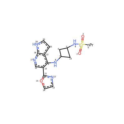 CCCS(=O)(=O)NC1CC(Nc2c(-c3ncco3)cnc3[nH]ccc23)C1